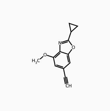 C#Cc1cc(OC)c2nc(C3CC3)oc2c1